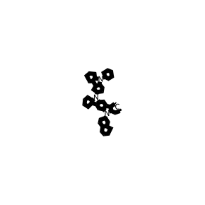 c1ccc(-n2c3ccccc3c3cc(-n4c5ccccc5c5cc6c(cc54)c4ccccc4n6-c4ccc5ccccc5c4)ccc32)cc1